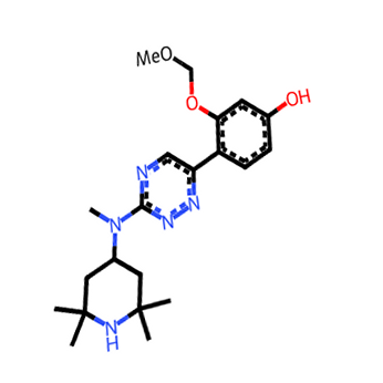 COCOc1cc(O)ccc1-c1cnc(N(C)C2CC(C)(C)NC(C)(C)C2)nn1